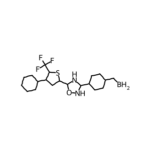 BCC1CCC(C2NOC(C3CC(C4CCCCC4)C(C(F)(F)F)S3)N2)CC1